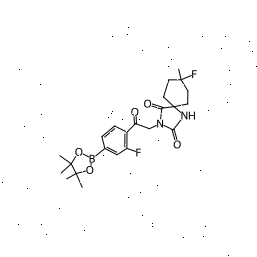 CC1(F)CCC2(CC1)NC(=O)N(CC(=O)c1ccc(B3OC(C)(C)C(C)(C)O3)cc1F)C2=O